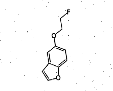 FCCOc1ccc2occc2c1